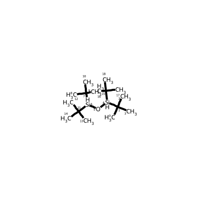 CC(C)(C)[SiH](O[SiH](C(C)(C)C)C(C)(C)C)C(C)(C)C